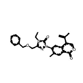 C=C(C)c1coc(=O)c2cc(C)c(-n3nc(COCc4ccccc4)n(CC)c3=O)cc12